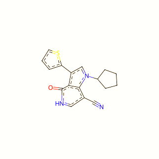 N#Cc1c[nH]c(=O)c2c(-c3cccs3)cn(C3CCCC3)c12